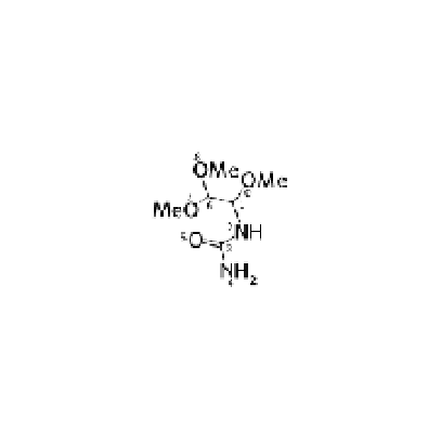 COC(NC(N)=O)C(OC)OC